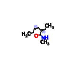 C=C/C=C\C(=C/C)C(=O)NC